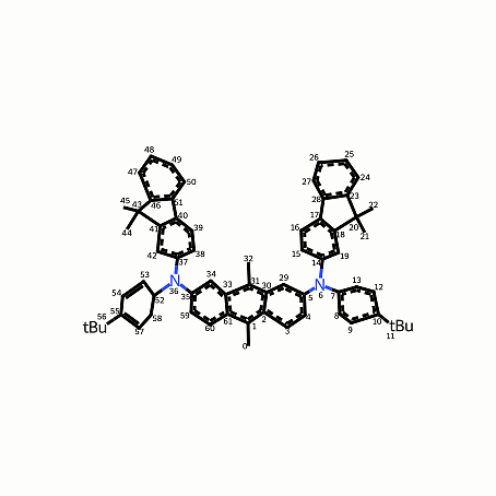 Cc1c2ccc(N(c3ccc(C(C)(C)C)cc3)c3ccc4c(c3)C(C)(C)c3ccccc3-4)cc2c(C)c2cc(N(c3ccc4c(c3)C(C)(C)c3ccccc3-4)C3C=CC(C(C)(C)C)=CC3)ccc12